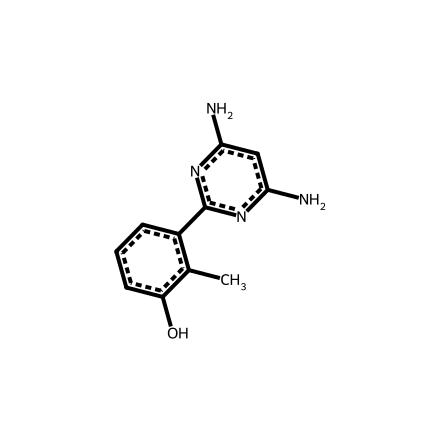 Cc1c(O)cccc1-c1nc(N)cc(N)n1